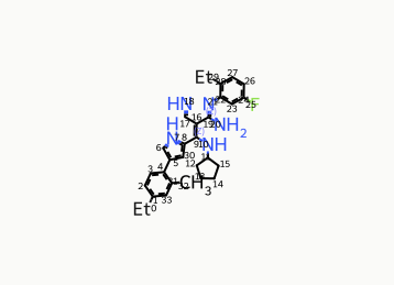 CCc1ccc(-c2c[nH]c(/C(NC3CCCC3)=C(C=N)/C(N)=N/c3cc(F)ccc3CC)c2)c(C)c1